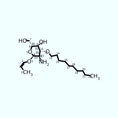 C/C=C\O[C@H]1O[C@H](CO)[C@@H](O)[C@H](OCCCCCCCCCC)[C@H]1N